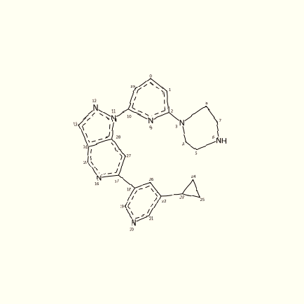 c1cc(N2CCNCC2)nc(-n2ncc3cnc(-c4cncc(C5CC5)c4)cc32)c1